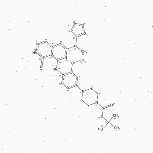 COc1cc(N2CCN(C(=O)OC(C)(C)C)CC2)ccc1Nc1nc(N(C)c2ccco2)cc2cn[nH]c(=O)c12